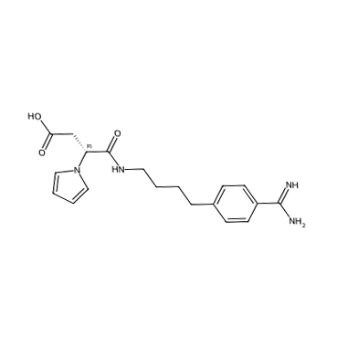 N=C(N)c1ccc(CCCCNC(=O)[C@@H](CC(=O)O)n2cccc2)cc1